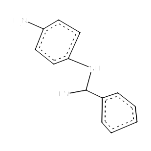 Nc1ccc(NC(N)c2ccccc2)cc1